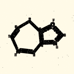 C1=CN=Cc2ncoc2C1